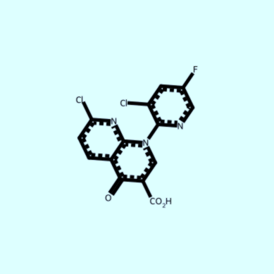 O=C(O)c1cn(-c2ncc(F)cc2Cl)c2nc(Cl)ccc2c1=O